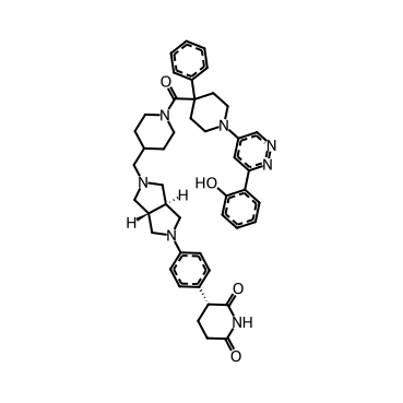 O=C1CC[C@H](c2ccc(N3C[C@@H]4CN(CC5CCN(C(=O)C6(c7ccccc7)CCN(c7cnnc(-c8ccccc8O)c7)CC6)CC5)C[C@H]4C3)cc2)C(=O)N1